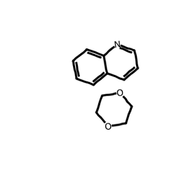 C1COCCO1.c1ccc2ncccc2c1